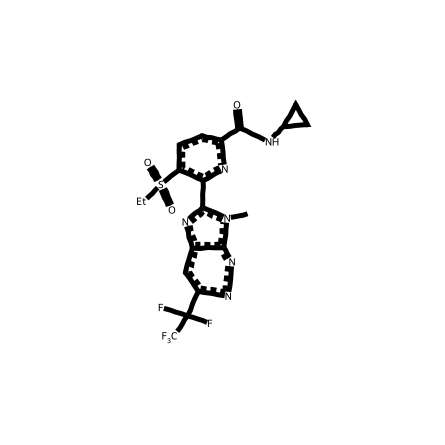 CCS(=O)(=O)c1ccc(C(=O)NC2CC2)nc1-c1nc2cc(C(F)(F)C(F)(F)F)nnc2n1C